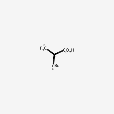 CCCCC(C(=O)O)C(F)(F)F